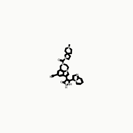 CN1CCC2(CC1)CCN(C(=O)N1CCn3cc(-c4c(-c5cnc6ccccn56)[nH][nH]c4=O)c4cc(C#N)cc(c43)C1)C2